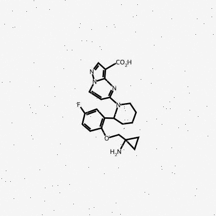 NC1(COc2ccc(F)cc2C2CCCCN2c2ccn3ncc(C(=O)O)c3n2)CC1